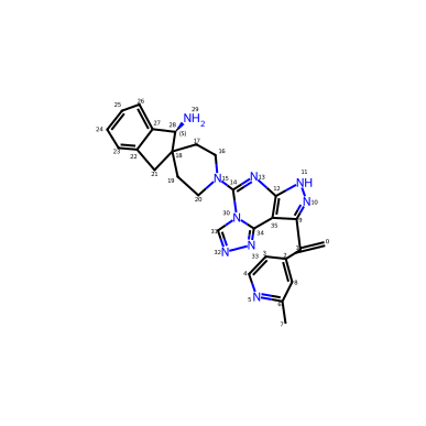 C=C(c1ccnc(C)c1)c1n[nH]c2nc(N3CCC4(CC3)Cc3ccccc3[C@H]4N)n3cnnc3c12